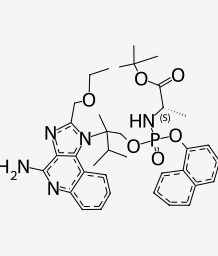 CCOCc1nc2c(N)nc3ccccc3c2n1C(C)(COP(=O)(N[C@@H](C)C(=O)OC(C)(C)C)Oc1cccc2ccccc12)C(C)C